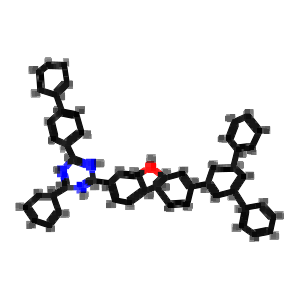 c1ccc(-c2ccc(-c3nc(-c4ccccc4)nc(-c4ccc5c(c4)oc4cc(-c6cc(-c7ccccc7)cc(-c7ccccc7)c6)ccc45)n3)cc2)cc1